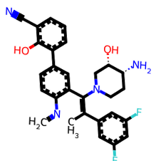 C=Nc1ccc(-c2cccc(C#N)c2O)cc1/C(=C(\C)c1cc(F)cc(F)c1)N1CC[C@@H](N)[C@@H](O)C1